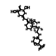 C=C1[C@H](O)CC(=C/C=C2\CCC[C@]3(C)[C@@H]([C@H](C)CCN4CCO[C@H](C(F)F)C4)CC[C@@H]23)C[C@H]1O